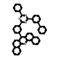 c1ccc(-c2cccc(-c3nc(-c4ccccc4)nc(-c4cccc(-c5c6ccc7ccccc7c6nc6c5ccc5ccccc56)c4)n3)c2)cc1